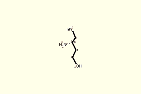 CCCC[C@@H](N)CCO